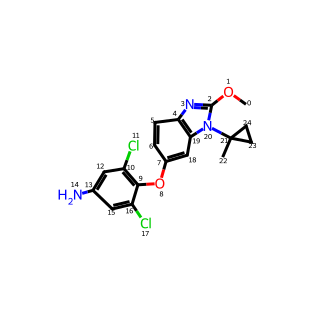 COc1nc2ccc(Oc3c(Cl)cc(N)cc3Cl)cc2n1C1(C)CC1